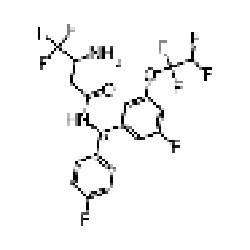 NC(CC(=O)N[C@H](c1ccc(F)cc1)c1cc(F)cc(OC(F)(F)C(F)F)c1)C(F)(F)F